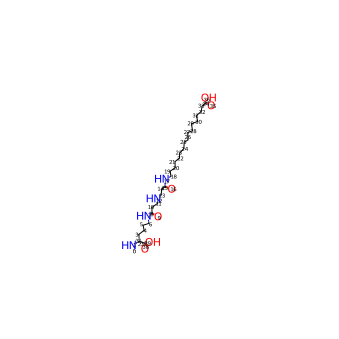 CN[C@@H](CCCCNC(=O)CCNCCC(=O)NCCCCCCCCCCCCCCCCC(=O)O)C(=O)O